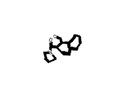 O=Cc1c(C(=O)N2CCCC2)ccc2ccccc12